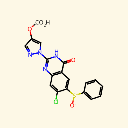 O=C(O)Oc1cnn(-c2nc3cc(Cl)c([S+]([O-])c4ccccc4)cc3c(=O)[nH]2)c1